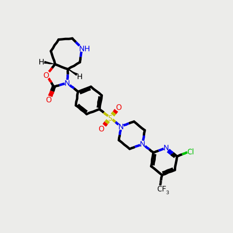 O=C1O[C@@H]2CCCNC[C@@H]2N1c1ccc(S(=O)(=O)N2CCN(c3cc(C(F)(F)F)cc(Cl)n3)CC2)cc1